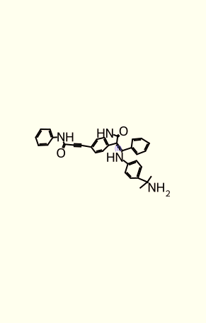 CC(C)(N)c1ccc(N/C(=C2/C(=O)Nc3cc(C#CC(=O)Nc4ccccc4)ccc32)c2ccccc2)cc1